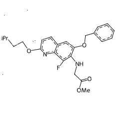 COC(=O)CNc1c(OCc2ccccc2)cc2ccc(OCCC(C)C)nc2c1F